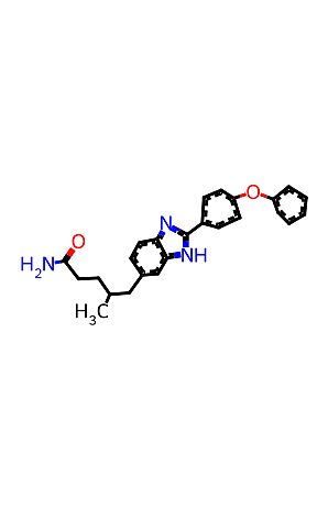 CC(CCC(N)=O)Cc1ccc2nc(-c3ccc(Oc4ccccc4)cc3)[nH]c2c1